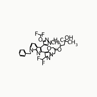 Cn1cc(-c2c3cccn(Cc4ccccc4)c-3nc2-c2c(C(F)F)nn3c2OC[C@@H](OCCC(C)(C)O)C3)c(OC(F)F)n1